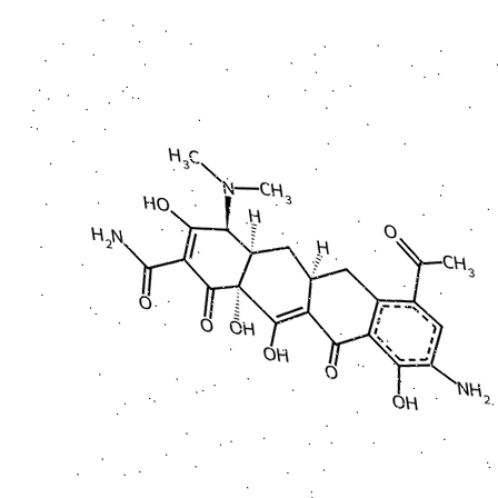 CC(=O)c1cc(N)c(O)c2c1C[C@@H]1C[C@@H]3[C@H](N(C)C)C(O)=C(C(N)=O)C(=O)[C@]3(O)C(O)=C1C2=O